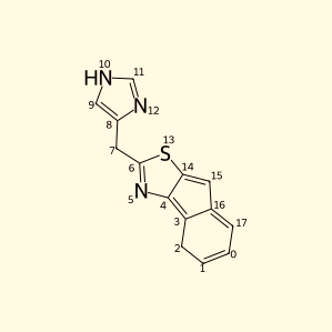 C1=CCC2=c3nc(Cc4c[nH]cn4)sc3=CC2=C1